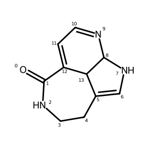 O=C1NCCC2=CNC3N=CC=C1C23